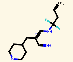 C=CCC(F)(F)N/C=C(\C=N)CC1CCNCC1